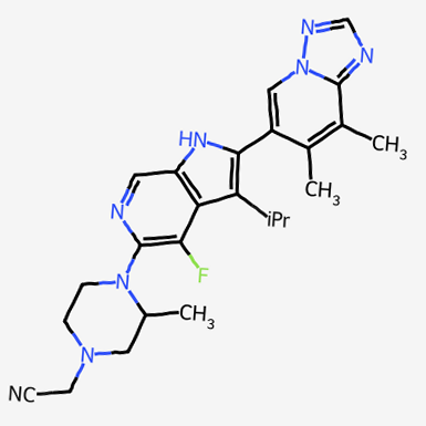 Cc1c(-c2[nH]c3cnc(N4CCN(CC#N)CC4C)c(F)c3c2C(C)C)cn2ncnc2c1C